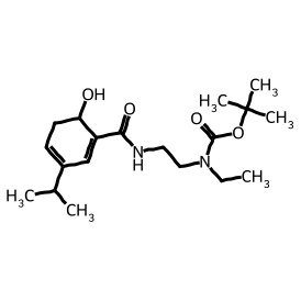 CCN(CCNC(=O)C1=CC(C(C)C)=CCC1O)C(=O)OC(C)(C)C